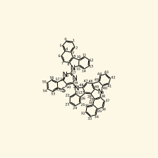 c1ccc2c(c1)ccc1c2c2ccccc2n1-c1nc(-n2c3ccccc3c3c4c5c6ccccc6ccc5n5c6ccccc6c(cc32)c45)c2sc3ccccc3c2n1